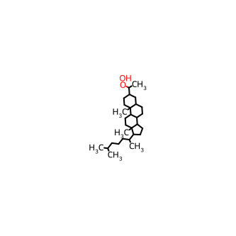 CC(C)CCCC(C)C1CCC2C3CCC4CC(C(C)OO)CCC4(C)C3CCC12C